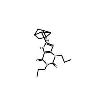 CCCn1c(=O)c2[nH]c(C3C4CC5C3C5(O)C4)nc2n(CCC)c1=O